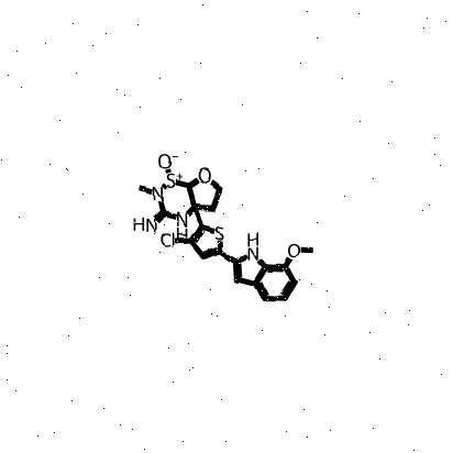 COc1cccc2cc(-c3cc(Cl)c(C45CCOC4[S+]([O-])N(C)C(=N)N5)s3)[nH]c12